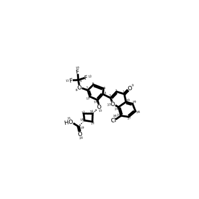 O=c1cc(-c2ccc(OC(F)(F)F)cc2O[C@H]2C[C@@H](C(=O)O)C2)oc2c(Cl)cccc12